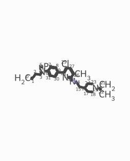 C=CCCN(CCC)c1ccc(-c2nc(/N=C/CC3CCN(C(=C)C)CC3)c(C)cc2Cl)cc1